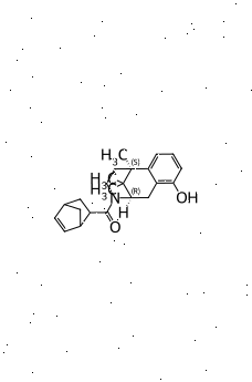 CC1(C)[C@H]2Cc3c(O)cccc3[C@]1(C)CCN2C(=O)C1CC2C=CC1C2